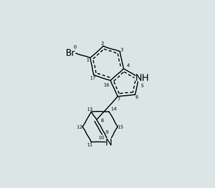 Brc1ccc2[nH]cc(C3=CN4CCC3CC4)c2c1